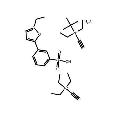 C#C[N+](CC)(CC)C(C)(C)C.C#C[N+](CC)(CC)CC.CC[n+]1ccc(-c2cccc(S(=O)(=O)O)c2)o1.O